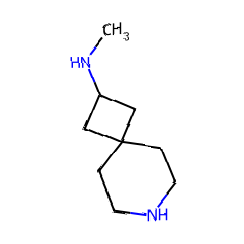 CNC1CC2(CCNCC2)C1